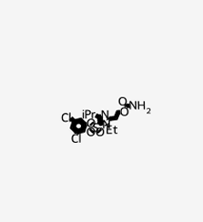 CCn1c(CCOC(N)=O)nc(C(C)C)c1S(=O)(=O)Oc1cc(Cl)cc(Cl)c1